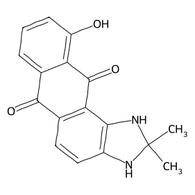 CC1(C)Nc2ccc3c(c2N1)C(=O)c1c(O)cccc1C3=O